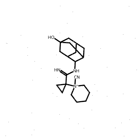 N#C[N+]1(C2(C(=N)NC3C4CC5CC3CC(O)(C5)C4)CC2)CCCCC1